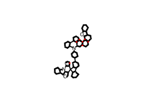 c1ccc(-c2cccc(-c3ccccc3N(c3ccc(-c4ccc5c(c4)C4(c6ccccc6-5)c5ccccc5-n5c6ccccc6c6cccc4c65)cc3)c3ccc(-c4cccc5c4oc4ccccc45)cc3)c2)cc1